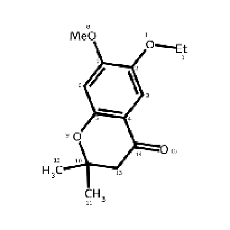 CCOc1cc2c(cc1OC)OC(C)(C)CC2=O